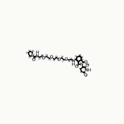 O=C1CCC(N2C(=O)c3cccc(NCCOCCOCCOCCOCCNC(=O)N4CCCC4)c3C2=O)C(=O)N1